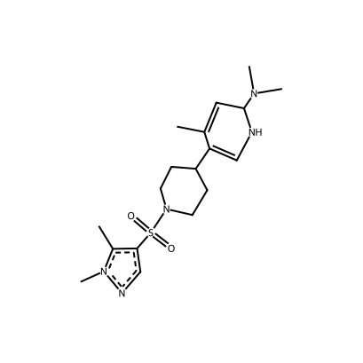 CC1=CC(N(C)C)NC=C1C1CCN(S(=O)(=O)c2cnn(C)c2C)CC1